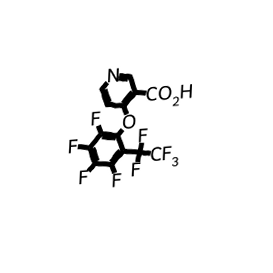 O=C(O)c1cnccc1Oc1c(F)c(F)c(F)c(F)c1C(F)(F)C(F)(F)F